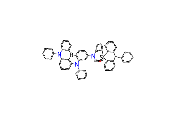 c1ccc(C2c3ccccc3[Si]3(c4ccccc42)c2ccccc2N(c2ccc4c(c2)N(c2ccccc2)c2cccc5c2B4c2ccccc2N5c2ccccc2)c2ccccc23)cc1